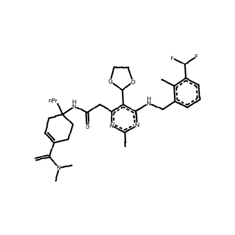 C=C(C1=CCC(CCC)(NC(=O)Cc2nc(C)nc(NCc3cccc(C(F)F)c3C)c2C2OCCO2)CC1)N(C)C